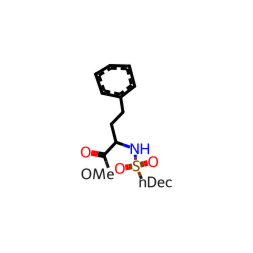 CCCCCCCCCCS(=O)(=O)NC(CCc1ccccc1)C(=O)OC